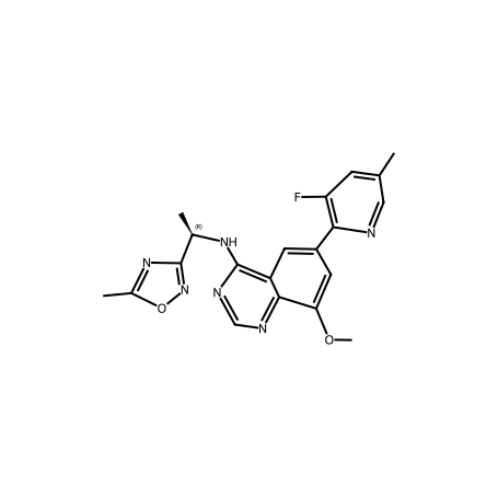 COc1cc(-c2ncc(C)cc2F)cc2c(N[C@H](C)c3noc(C)n3)ncnc12